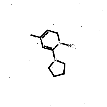 CC1=CCN([N+](=O)[O-])C(N2CCCC2)=C1